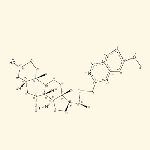 COc1ccc2cnc(CC[C@@H](C)[C@H]3CC[C@H]4[C@H]5C(CC[C@]34C)[C@@]3(C)CC[C@@H](O)C[C@H]3C[C@H]5O)nc2c1